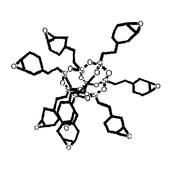 C1CC2OC2CC1CC[Si]12O[Si]3(CCC4CCC5OC5C4)O[Si]4(CCC5CCC6OC6C5)O[Si](CCC5CCC6OC6C5)(O1)O[Si]1(CCC5CCC6OC6C5)O[Si](CCC5CCC6OC6C5)(O2)O[Si](CCC2CCC5OC5C2)(O3)O[Si](CCC2CCC3OC3C2)(O4)O1